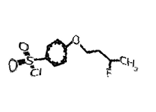 CC(F)CCOc1ccc(S(=O)(=O)Cl)cc1